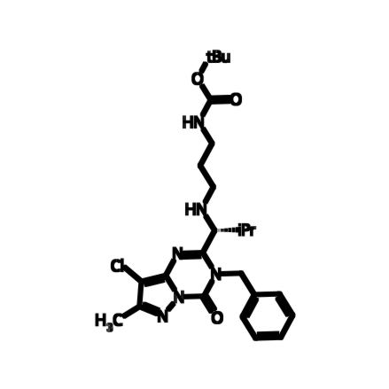 Cc1nn2c(=O)n(Cc3ccccc3)c([C@H](NCCCNC(=O)OC(C)(C)C)C(C)C)nc2c1Cl